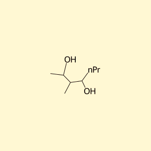 CCCC(O)C(C)C(C)O